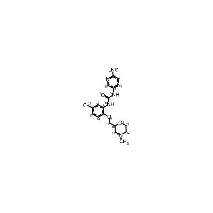 [C-]#[N+]c1cnc(NC(=O)Nc2cc(Cl)ccc2OCC2CN(C)CCO2)cn1